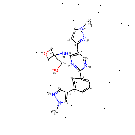 Cn1cc(-c2cccc(-c3ncc(-c4ccn(C)n4)c(NC4(CO)COC4)n3)c2)cn1